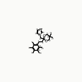 Cc1c(C)c(C)c(CCC2(Cn3ccnc3)OCC(C)(C)CO2)c(C)c1C